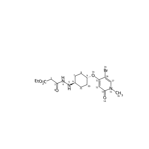 CCOC(=O)CC(=O)NN[C@H]1CC[C@H](Oc2cc(=O)n(C)cc2Br)CC1